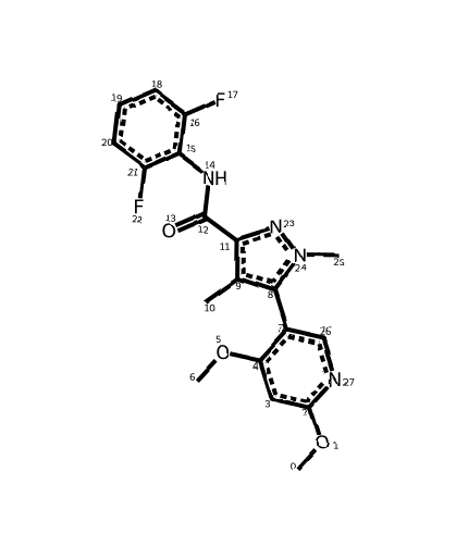 COc1cc(OC)c(-c2c(C)c(C(=O)Nc3c(F)cccc3F)nn2C)cn1